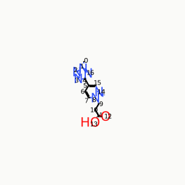 Cn1nnc(-c2cc[n+](CCC(=O)O)nc2)n1